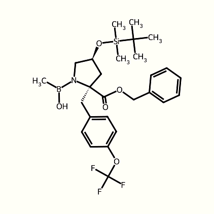 CB(O)N1C[C@@H](O[Si](C)(C)C(C)(C)C)C[C@@]1(Cc1ccc(OC(F)(F)F)cc1)C(=O)OCc1ccccc1